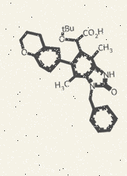 Cc1c(C(OC(C)(C)C)C(=O)O)c(-c2ccc3c(c2)CCCO3)c(C)c2c1[nH]c(=O)n2Cc1ccccc1